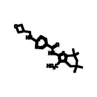 CC1(C)Cc2c(sc(NC(=O)c3ccc(NCC4COC4)cc3)c2C(=O)O)C(C)(C)C1